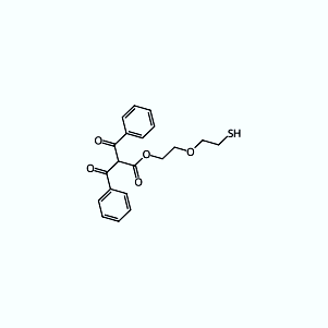 O=C(OCCOCCS)C(C(=O)c1ccccc1)C(=O)c1ccccc1